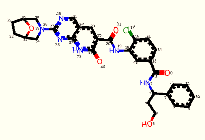 O=C(NC(CCO)c1ccccc1)c1ccc(Cl)c(NC(=O)c2cc3cnc(N4CC5CCC(C4)O5)nc3[nH]c2=O)c1